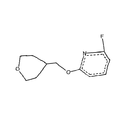 Fc1cccc(OCC2CCOCC2)n1